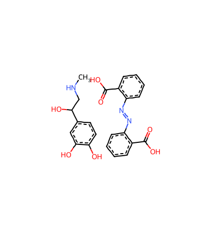 CNCC(O)c1ccc(O)c(O)c1.O=C(O)c1ccccc1N=Nc1ccccc1C(=O)O